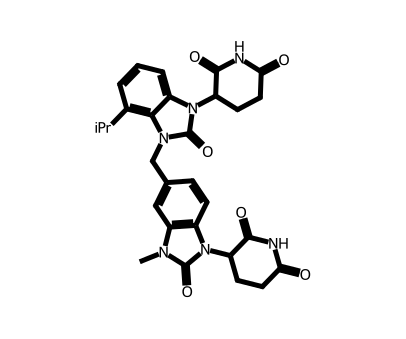 CC(C)c1cccc2c1n(Cc1ccc3c(c1)n(C)c(=O)n3C1CCC(=O)NC1=O)c(=O)n2C1CCC(=O)NC1=O